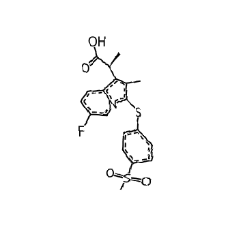 Cc1c([C@H](C)C(=O)O)c2ccc(F)cn2c1Sc1ccc(S(C)(=O)=O)cc1